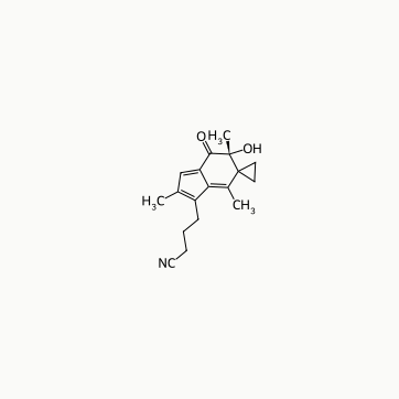 CC1=C(CCCC#N)C2=C(C)C3(CC3)[C@@](C)(O)C(=O)C2=C1